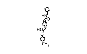 Cc1ccc(OCC(O)CN2CCN(CC(=O)NCc3ccccc3)CC2)cc1